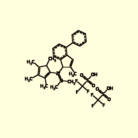 CC1=Cc2c(-c3ccccc3)cccc2[CH]1[Zr]([C]1=C(C)C(C)=C(C)C1C)=[Si](C)C.O=S(=O)(O)C(F)(F)F.O=S(=O)(O)C(F)(F)F